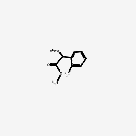 CCCCCC(C(=O)ON)c1ccccc1C(F)(F)F